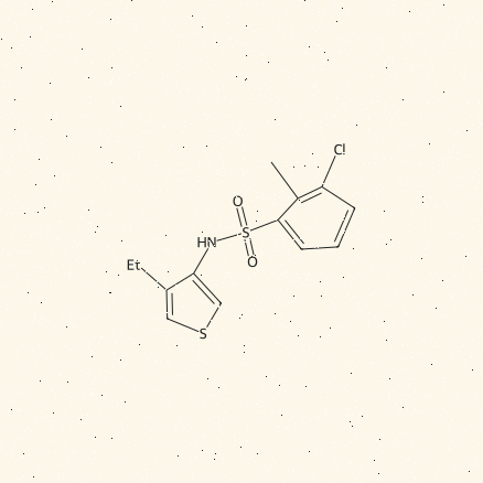 [CH2]Cc1cscc1NS(=O)(=O)c1cccc(Cl)c1C